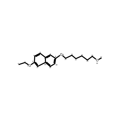 CCOc1ccc2cc(OCCCCCCOC)ccc2c1